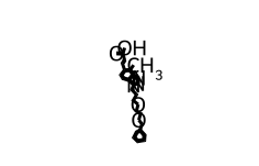 Cc1c(C=CC(=O)O)ccc2c1nnn2CCCOCCOCc1ccccc1